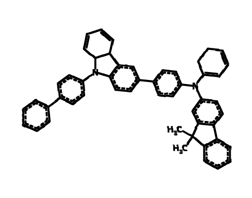 CC1(C)c2ccccc2-c2ccc(N(C3=CC=CCC3)c3ccc(-c4ccc5c(c4)C4C=CC=CC4N5c4ccc(-c5ccccc5)cc4)cc3)cc21